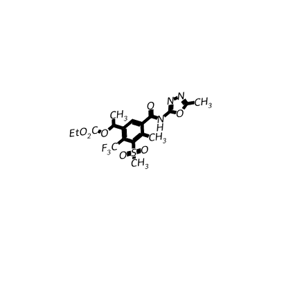 CCOC(=O)OC(C)c1cc(C(=O)Nc2nnc(C)o2)c(C)c(S(C)(=O)=O)c1C(F)(F)F